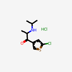 CC(C)NC(C)C(=O)c1csc(Cl)c1.Cl